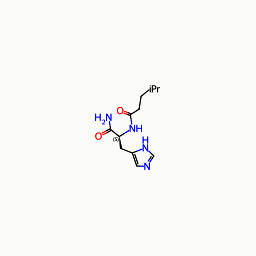 CC(C)CCC(=O)N[C@@H](Cc1cnc[nH]1)C(N)=O